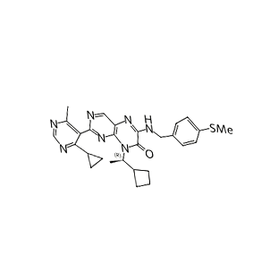 CSc1ccc(CNc2nc3cnc(-c4c(C)ncnc4C4CC4)nc3n([C@H](C)C3CCC3)c2=O)cc1